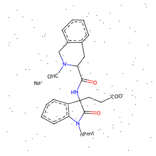 CCCCCN1C(=O)C(CCC(=O)[O-])(NC(=O)C2Cc3ccccc3CN2C=O)c2ccccc21.[Na+]